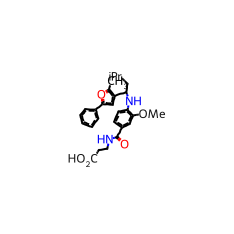 COc1cc(C(=O)NCCC(=O)O)ccc1NC(CC(C)C)c1cc(-c2ccccc2)oc1C